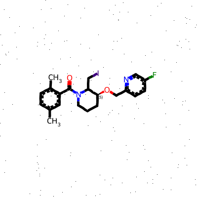 Cc1ccc(C)c(C(=O)N2CCC[C@H](OCc3ccc(F)cn3)C2CI)c1